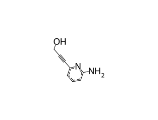 Nc1cccc(C#CCO)n1